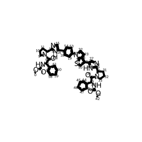 COC(=O)N[C@@H](C(=O)N1CCCC1c1ncc(-c2ccc(-n3ccc4c(-c5cnc(C6CCCN6C(=O)[C@H](NC(=O)OC)c6ccccc6)[nH]5)csc43)cc2)[nH]1)c1ccccc1